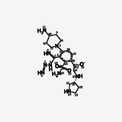 N=NNC(=N)c1c(N2CCC(N)CC2)ccc([S+]([O-])CN[C@@H]2CCNC2)c1S(N)(=O)=O